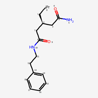 CC(C)C[C@@H](CC(N)=O)CC(=O)NCCc1ccccc1